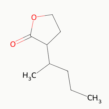 CCCC(C)C1CCOC1=O